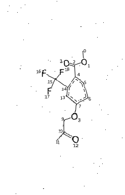 COC(=O)c1ccc(OCC(C)=O)cc1C(F)(F)F